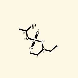 CCN(CC)OS(=O)(=O)OC(C)S